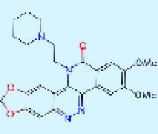 COc1cc2c(=O)n(CCN3CCCCC3)c3c4cc5c(cc4nnc3c2cc1OC)OCO5